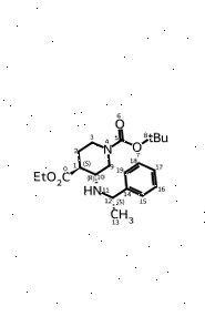 CCOC(=O)[C@H]1CCN(C(=O)OC(C)(C)C)C[C@@H]1N[C@@H](C)c1ccccc1